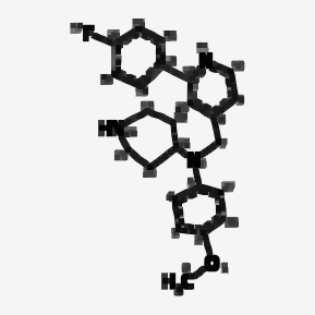 COc1ccc(N(Cc2ccnc(-c3ccc(F)cc3)c2)C2CCNCC2)cc1